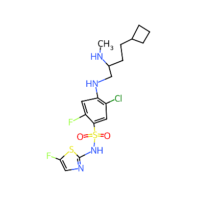 CNC(CCC1CCC1)CNc1cc(F)c(S(=O)(=O)Nc2ncc(F)s2)cc1Cl